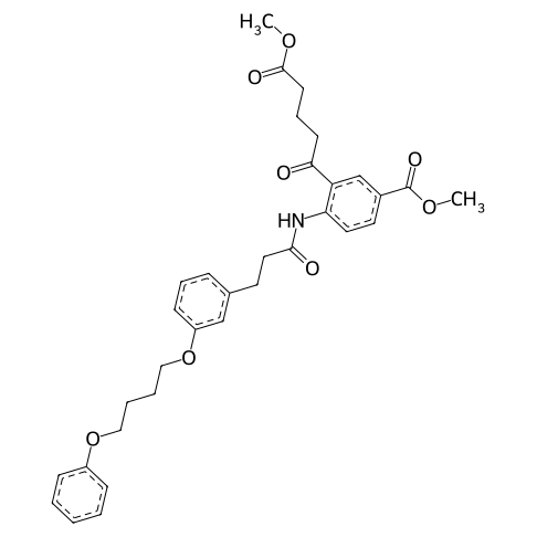 COC(=O)CCCC(=O)c1cc(C(=O)OC)ccc1NC(=O)CCc1cccc(OCCCCOc2ccccc2)c1